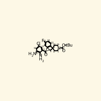 CC(C)(C)OC(=O)N1CCC(COC(=O)c2cc(Cl)cc(N)c2N)(c2ccc(F)cc2)CC1